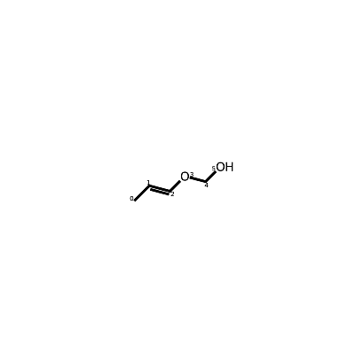 CC=COCO